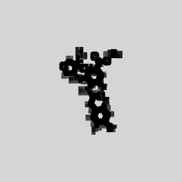 CC(C)(C)OC(=O)c1cc(F)c(NC(=O)Cc2cc(F)c(Br)cc2F)c(N[C@@H]2COCC2(C)C)c1